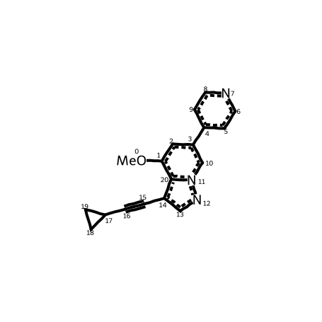 COc1cc(-c2ccncc2)cn2ncc(C#CC3CC3)c12